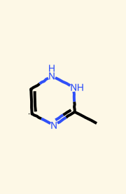 CC1=N[C]=CNN1